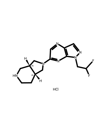 Cl.FC(F)Cn1ncc2ncc(N3C[C@H]4CNCC[C@H]4C3)nc21